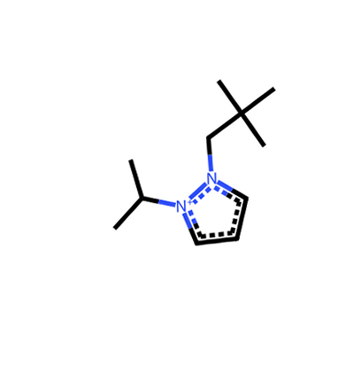 CC(C)[n+]1cccn1CC(C)(C)C